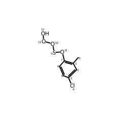 Cc1cc(Cl)ccc1OSOOO